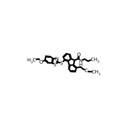 CCCCCc1cccc2c1C(C(=O)NCCC)c1cccc(Sc3nc4ccc(OCC)cc4s3)c1-2